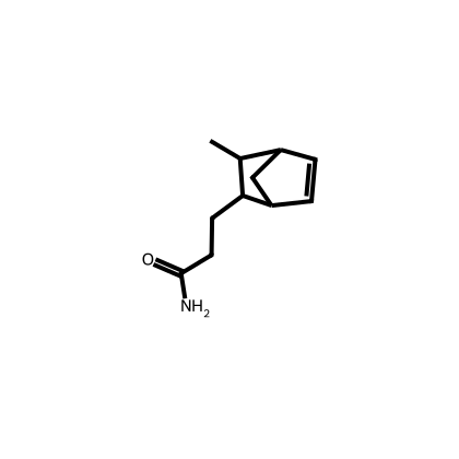 CC1C2C=CC(C2)C1CCC(N)=O